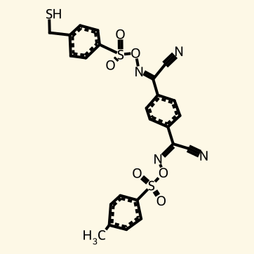 Cc1ccc(S(=O)(=O)ON=C(C#N)c2ccc(C(C#N)=NOS(=O)(=O)c3ccc(CS)cc3)cc2)cc1